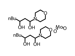 CCCCC(O)CC(O)N1CCOCC1.CCCCC(O)CC(O)N1CCOCC1.[O]=[Mo]=[O]